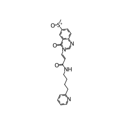 C[S+]([O-])c1ccc2ncn(/C=C/C(=O)NCCCCc3ccccn3)c(=O)c2c1